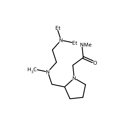 CCN(CC)CCN(C)CC1CCCN1CC(=O)NC